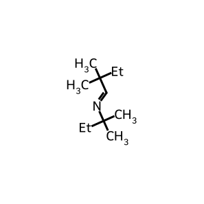 CCC(C)(C)/C=N/C(C)(C)CC